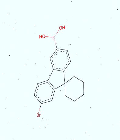 OB(O)c1ccc2c(c1)-c1ccc(Br)cc1C21CCCCC1